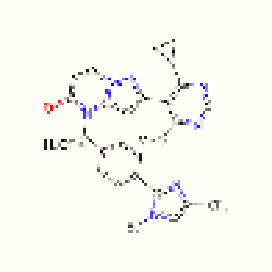 CCn1cc(C(F)(F)F)nc1-c1ccc([C@H](C)n2c(=O)ccn3nc(-c4c(OC)ncnc4C4CC4)cc23)cc1